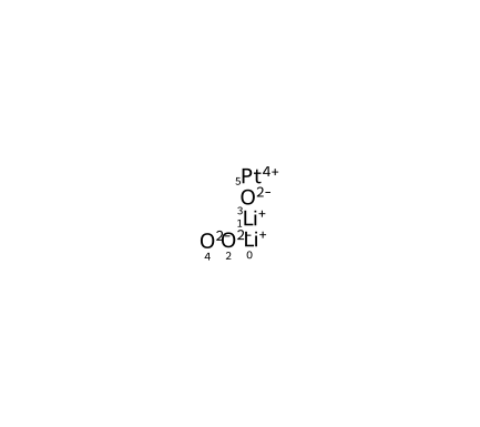 [Li+].[Li+].[O-2].[O-2].[O-2].[Pt+4]